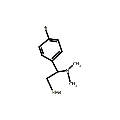 CNCC(c1ccc(Br)cc1)N(C)C